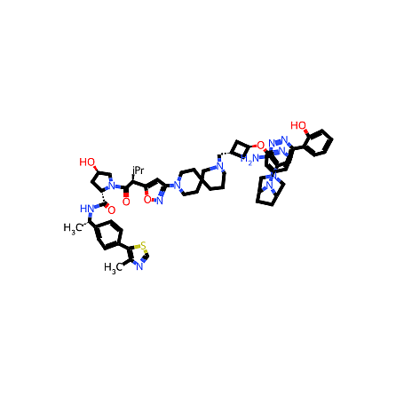 Cc1ncsc1-c1ccc([C@H](C)NC(=O)[C@@H]2C[C@@H](O)CN2C(=O)[C@H](c2cc(N3CCC4(CCCN(C[C@H]5C[C@H](Oc6cc(N7C8CCC7CN(c7cc(-c9ccccc9O)nnc7N)C8)ccn6)C5)C4)CC3)no2)C(C)C)cc1